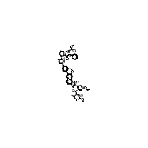 CCO[C@H]1C[C@@H](c2nc3ccc4cc5c(cc4c3[nH]2)OCc2cc(-c3cnc([C@@H]4CCCN4C(=O)[C@H](NC(=O)OC)c4ccccc4)[nH]3)ccc2-5)N(C(=O)C(NC(=O)OC)C(C)C)C1